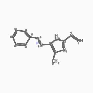 Cc1nc(N=N)[nH]c1/N=N/c1ccccc1